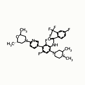 CC1CN(c2ccc(-c3c(F)cc(N4CCN(C)C(C)C4)c(NC(=O)c4ccc(F)cc4C(F)(F)F)c3F)cn2)C[C@H](C)O1